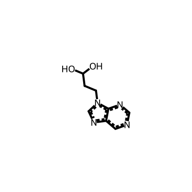 OC(O)CCn1cnc2cncnc21